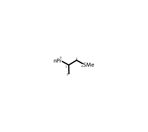 CCCC(C)CSC